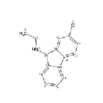 CCNC1c2ccccc2-c2ccc(Cl)cc21